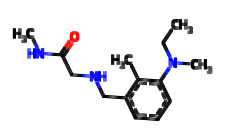 CCN(C)c1cccc(CNCC(=O)NC)c1C